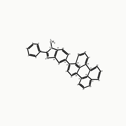 Cn1c(-c2ccccc2)nc2cc(-c3ccc4c5cccc6cccc(c7cccc3c74)c65)ccc21